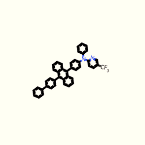 FC(F)(F)c1ccc(N(c2ccccc2)c2ccc(-c3c4ccccc4c(-c4ccc(-c5ccccc5)cc4)c4ccccc34)cc2)nc1